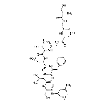 CC(C)C[C@H](NC(=O)[C@@H](NC(=O)[C@H](Cc1ccccc1)NC(=O)[C@H](CC(=O)O)NC(=O)[C@@H](NC(=O)CNC(=O)[C@H](CO)NC(=O)CNC(=O)[C@@H](N)CO)[C@@H](C)O)[C@@H](C)O)C(=O)N[C@@H](CC(N)=O)C(=O)O